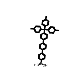 Cc1ccc(C(c2ccc(C)cc2)(c2ccc(C)cc2)c2ccc(-c3ccc(-c4ccc(B(O)O)cc4)cc3)cc2)cc1